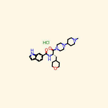 CN1CCC(N2CCN(C(=O)[C@H](CC3CCOCC3)NC(=O)c3ccc4cc[nH]c4c3)CC2)CC1.Cl